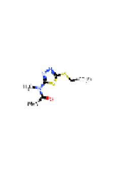 CCOC(=O)CSc1nnc(N(C)C(=O)NC)s1